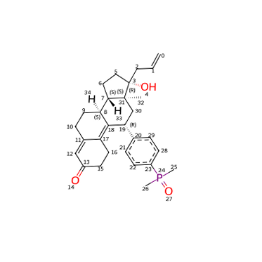 C=CC[C@]1(O)CC[C@H]2[C@@H]3CCC4=CC(=O)CCC4=C3[C@@H](c3ccc(P(C)(C)=O)cc3)C[C@@]21C